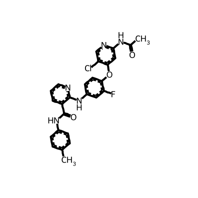 CC(=O)Nc1cc(Oc2ccc(Nc3ncccc3C(=O)Nc3ccc(C)cc3)cc2F)c(Cl)cn1